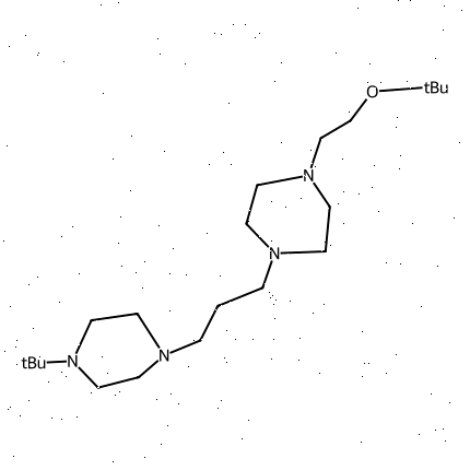 CC(C)(C)OCCN1CCN(CCCN2CCN(C(C)(C)C)CC2)CC1